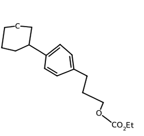 CCOC(=O)OCCCc1ccc(C2CCCCC2)cc1